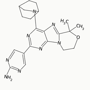 CC1(C)OCCn2c1nc1c(N3CC4CCC3CC4)nc(-c3cnc(N)nc3)nc12